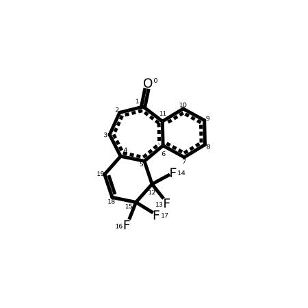 O=c1ccc2c(c3ccccc13)C(F)(F)C(F)(F)C=C2